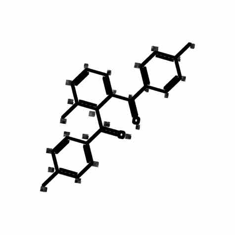 Cc1ccc(C(=O)c2cccc(C)c2C(=O)c2ccc(C)cc2)cc1